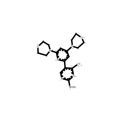 CC(=O)Nc1ncc(-c2cc(N3CCOCC3)cc(N3CCOCC3)n2)c(C(F)(F)F)n1